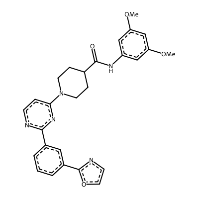 COc1cc(NC(=O)C2CCN(c3ccnc(-c4cccc(-c5ncco5)c4)n3)CC2)cc(OC)c1